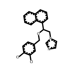 Clc1ccc(COC(Cn2ccnc2)c2cccc3ccccc23)cc1Cl